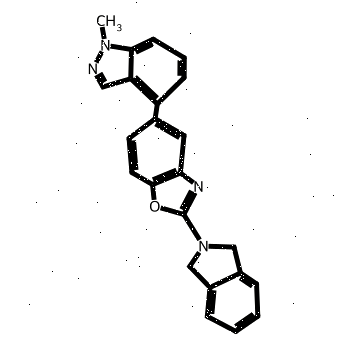 Cn1ncc2c(-c3ccc4oc(N5Cc6ccccc6C5)nc4c3)cccc21